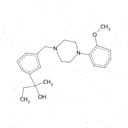 CCC(C)(O)c1cccc(CN2CCN(c3ccccc3OC)CC2)c1